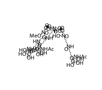 COCCN(CCOP(=O)(O)OCCN(CCOP(=O)(O)OCCN(CCO)C(=O)CCCCCNC(=O)CCCCCOC1OC(CO)C(O)C(O)C1NC(C)=O)C(=O)CCCCCNC(=O)CCCCCOC1OC(CO)C(O)C(O)C1NC(C)=O)C(=O)CCCCCNC(=O)CCCCCOC1OC(CO)C(O)C(O)C1NC(C)=O